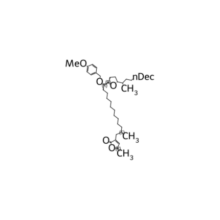 CCCCCCCCCCCCC(C)C1CC[C@H]([C@@H](CCCCCCCCCC[C@H](C)CC2=C[C@@H](C)OC2=O)OCc2ccc(OC)cc2)O1